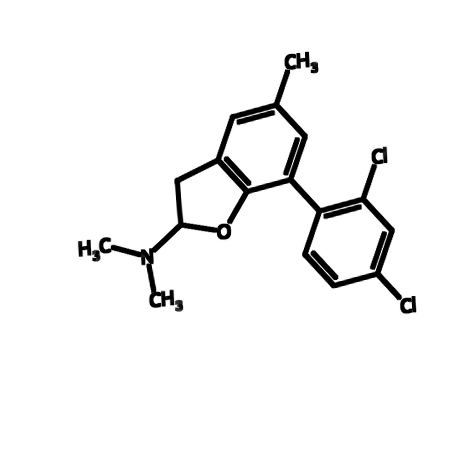 Cc1cc2c(c(-c3ccc(Cl)cc3Cl)c1)OC(N(C)C)C2